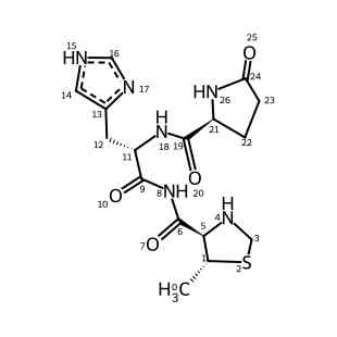 C[C@H]1SCN[C@@H]1C(=O)NC(=O)[C@H](Cc1c[nH]cn1)NC(=O)[C@@H]1CCC(=O)N1